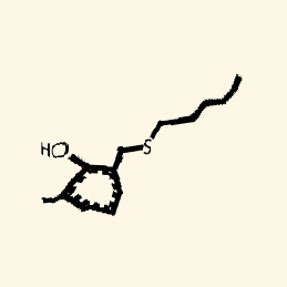 CCCCCSCc1cccc(C)c1O